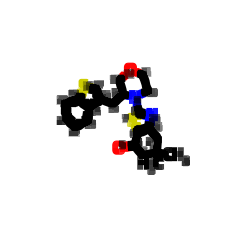 CC1(C)CC(=O)c2sc(N3CCOCC3Cc3csc4ccccc34)nc2C1